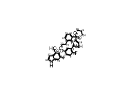 Cc1c(Oc2ccc(F)c(-c3nc(C4(c5cccc(CCC(=O)O)c5)OCCCO4)c[nH]3)c2)c(F)cc2[nH]ccc12